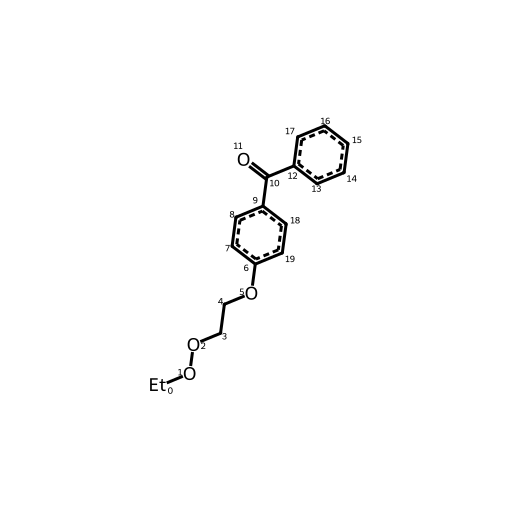 CCOOCCOc1ccc(C(=O)c2ccccc2)cc1